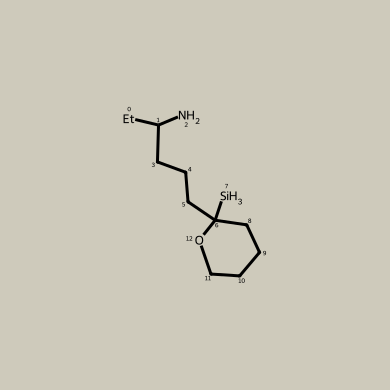 CCC(N)CCCC1([SiH3])CCCCO1